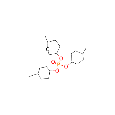 CC1CCC(OP(=O)(OC2CCC(C)CC2)OC2CCC(C)CC2)CC1